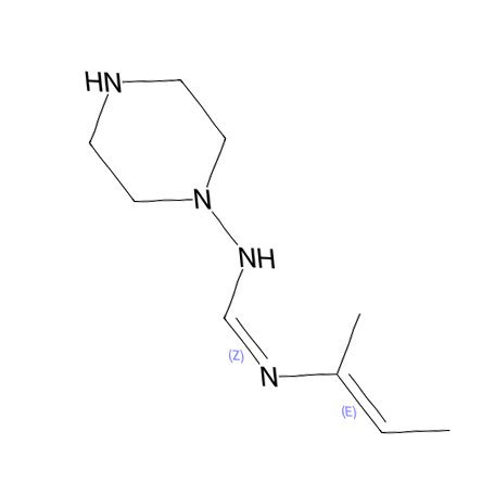 C/C=C(C)/N=C\NN1CCNCC1